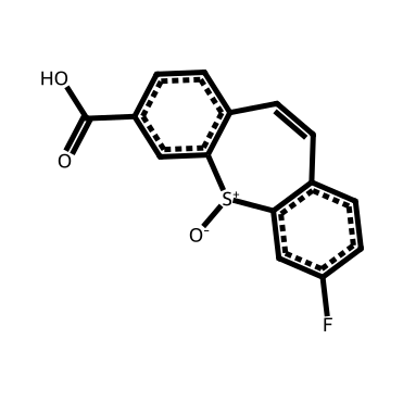 O=C(O)c1ccc2c(c1)[S+]([O-])c1cc(F)ccc1C=C2